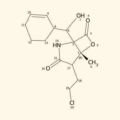 C[C@]12OC(=O)C1(C(O)C1C=CCCC1)NC(=O)C2CCCl